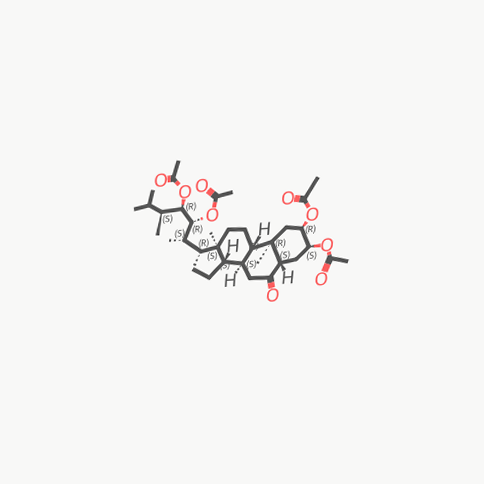 CC(=O)O[C@H]([C@@H](C)[C@H]1CC[C@H]2[C@@H]3CC(=O)[C@H]4C[C@H](OC(C)=O)[C@H](OC(C)=O)C[C@]4(C)[C@H]3CC[C@]12C)[C@H](OC(C)=O)[C@@H](C)C(C)C